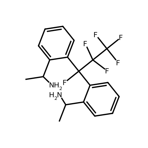 CC(N)c1ccccc1C(F)(c1ccccc1C(C)N)C(F)(F)C(F)(F)F